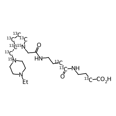 CCN1CC[15N]([13CH2][13CH]2[13CH2][13CH2][13CH2][15N]2CC(=O)NCC[13CH2][13C](=O)NCC[13CH2][13C](=O)O)CC1